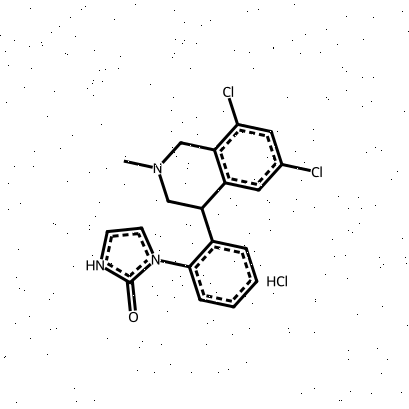 CN1Cc2c(Cl)cc(Cl)cc2C(c2ccccc2-n2cc[nH]c2=O)C1.Cl